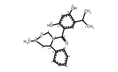 CC(C)c1cc(C(=O)N2CCN(C)CC2c2ccccc2)c(O)cc1O